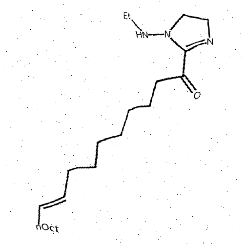 CCCCCCCCC=CCCCCCCCC(=O)C1=NCCN1NCC